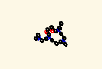 C1=Cc2c(c3ccccc3n2-c2cccc(-c3ccc(N(c4ccc(-c5cccc(-c6ccc7c(c6)c6ccccc6n7-c6cccc(-c7ccc(N(c8ccc(-c9ccccc9)cc8)c8ccc9oc%10ccccc%10c9c8)cc7)c6)c5)cc4)c4ccc5c(c4)oc4ccccc45)cc3)c2)CC1